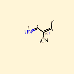 C/C=C(/C#N)C=N